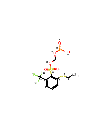 CCSc1cccc(C(F)(F)F)c1S(=O)(=O)OCO[PH](=O)O